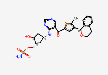 N#Cc1sc(C(=O)c2cncnc2N[C@@H]2C[C@H](COS(N)(=O)=O)[C@@H](O)C2)cc1[C@@H]1OCCc2ccccc21